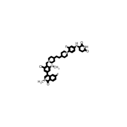 COc1cc(-c2cn(C)c(=O)c3ccc(F)cc23)cc(Cl)c1CN1CCC(CCC2CCN(c3ccc(NC4CCC(=O)NC4=O)cc3F)CC2)CC1